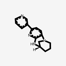 c1cncc(-c2ccc3c(n2)N[C@H]2CCCN3C2)c1